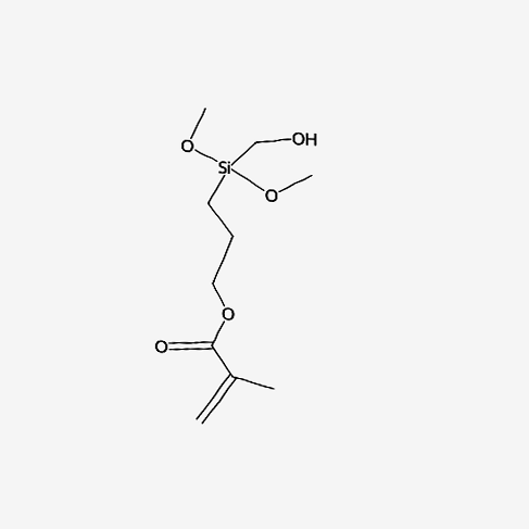 C=C(C)C(=O)OCCC[Si](CO)(OC)OC